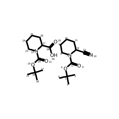 CC(C)(C)OC(=O)N1CCCCC1C#N.CC(C)(C)OC(=O)N1CCCCC1C(=O)O